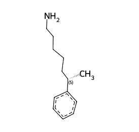 C[C@@H](CCCCCN)c1ccccc1